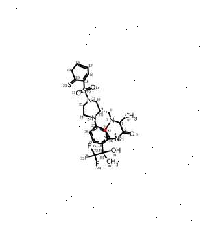 CC1C(=O)NCCN1C[C@H]1CN(S(=O)(=O)C2=CC=CCC2=S)CCN1c1ccc([C@](C)(O)C(F)(F)F)cc1